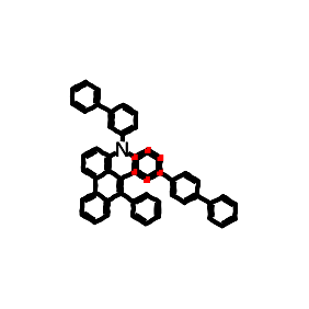 c1ccc(-c2ccc(-c3ccc(N(c4cccc(-c5ccccc5)c4)c4cccc5c4c(-c4ccccc4)c(-c4ccccc4)c4ccccc45)cc3)cc2)cc1